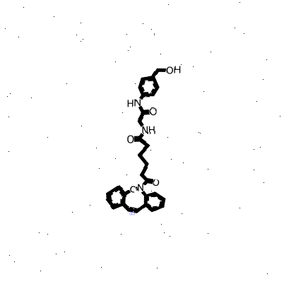 O=C(CCCCC(=O)N1Cc2ccccc2/C=C\c2ccccc21)NCC(=O)Nc1ccc(CO)cc1